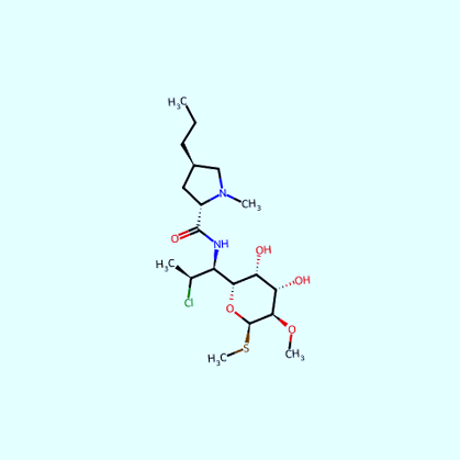 CCC[C@@H]1C[C@@H](C(=O)N[C@@H]([C@H]2O[C@H](SC)[C@H](OC)[C@@H](O)[C@H]2O)[C@H](C)Cl)N(C)C1